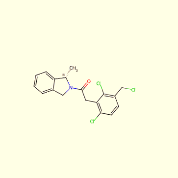 C[C@H]1c2ccccc2CN1C(=O)Cc1c(Cl)ccc(CCl)c1Cl